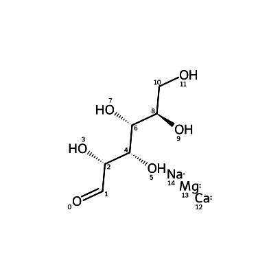 O=C[C@H](O)[C@@H](O)[C@H](O)[C@H](O)CO.[Ca].[Mg].[Na]